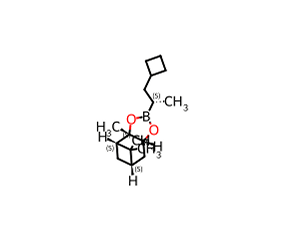 C[C@@H](CC1CCC1)B1O[C@@H]2C[C@@H]3C[C@@H](C3(C)C)[C@]2(C)O1